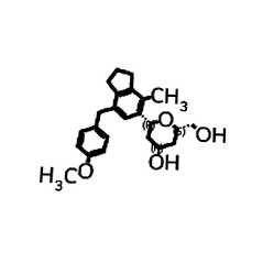 COc1ccc(Cc2cc([C@H]3C[C@@H](O)C[C@@H](CO)O3)c(C)c3c2CCC3)cc1